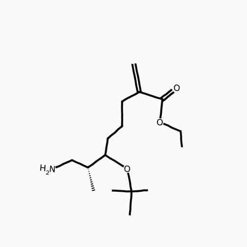 C=C(CCCC(OC(C)(C)C)[C@H](C)CN)C(=O)OCC